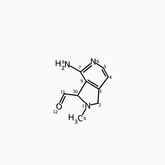 CN1Cc2ccnc(N)c2C1C=O